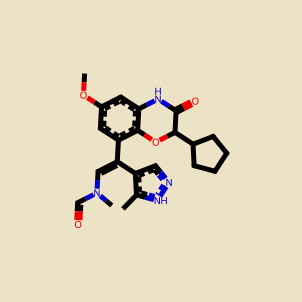 COc1cc2c(c(/C(=C/N(C)C=O)c3cn[nH]c3C)c1)OC(C1CCCC1)C(=O)N2